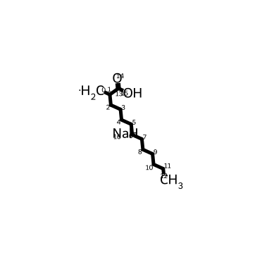 [CH2]C(CCCCCCCCCCC)C(=O)O.[NaH]